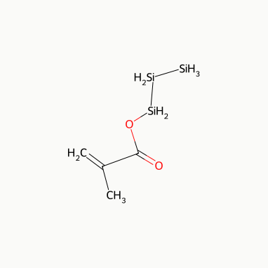 C=C(C)C(=O)O[SiH2][SiH2][SiH3]